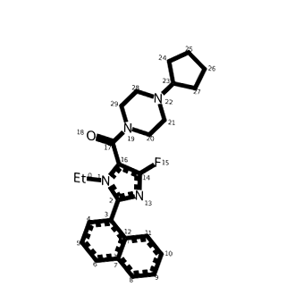 CCn1c(-c2cccc3ccccc23)nc(F)c1C(=O)N1CCN(C2CCCC2)CC1